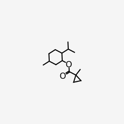 CC1CCC(C(C)C)C(OC(=O)C2(C)CC2)C1